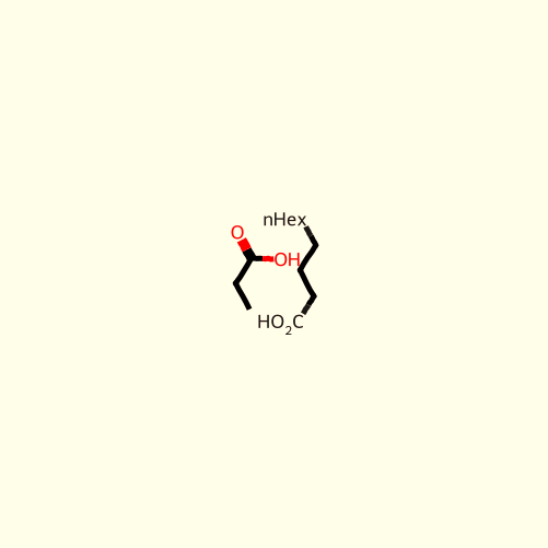 CCC(=O)O.CCCCCCCCCC(=O)O